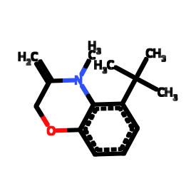 C=C1COc2cccc(C(C)(C)C)c2N1C